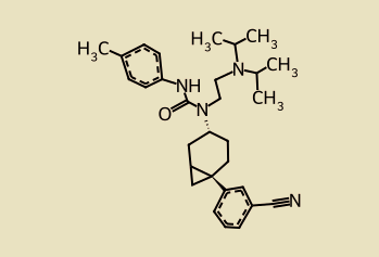 Cc1ccc(NC(=O)N(CCN(C(C)C)C(C)C)[C@@H]2CC[C@]3(c4cccc(C#N)c4)CC3C2)cc1